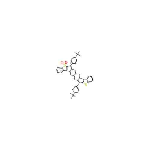 CC(C)(C)c1ccc(C2=c3cc4cc5c(cc4cc3C3=C2S(=O)(=O)c2ccccc23)=C(c2ccc(C(C)(C)C)cc2)c2sc3ccccc3c2-5)cc1